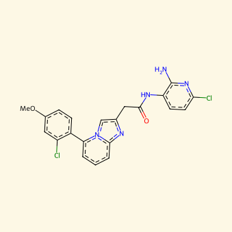 COc1ccc(-c2cccc3nc(CC(=O)Nc4ccc(Cl)nc4N)cn23)c(Cl)c1